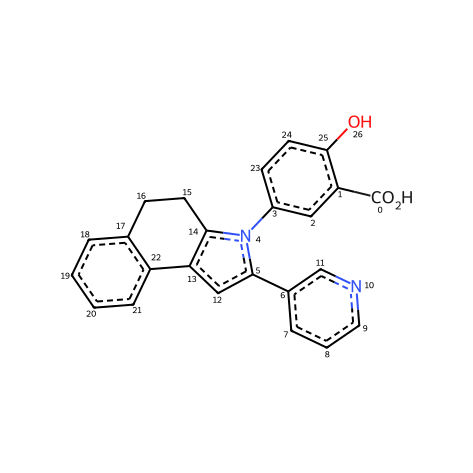 O=C(O)c1cc(-n2c(-c3cccnc3)cc3c2CCc2ccccc2-3)ccc1O